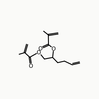 C=CCCC(COC(=O)C(=C)C)OC(=O)C(=C)C